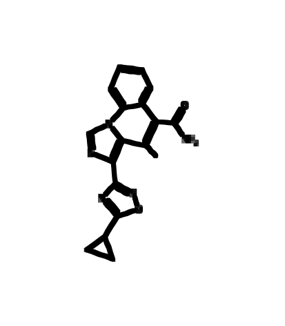 Cc1c(C(N)=O)c2ccccc2n2cnc(-c3noc(C4CC4)n3)c12